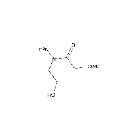 CCCN(CCO)C(=O)COC